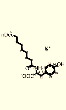 CCCCCCCCCCCCCCCCCC(=O)N[C@@H](Cc1ccc(O)cc1)C(=O)[O-].[K+]